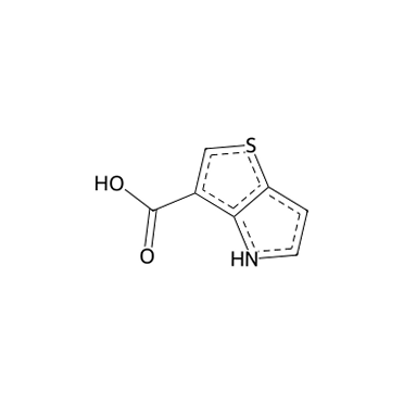 O=C(O)c1csc2cc[nH]c12